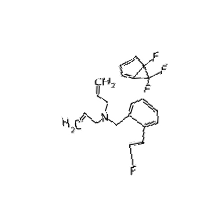 C=CCN(CC=C)Cc1ccccc1CCF.FC1(F)C2=CC=CC21F